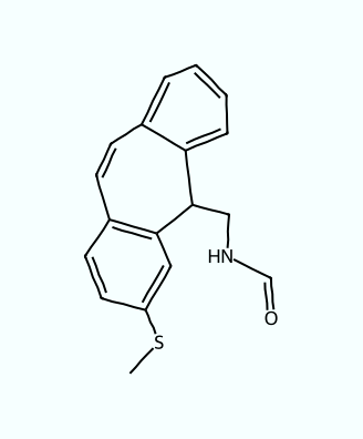 CSc1ccc2c(c1)C(CNC=O)c1ccccc1C=C2